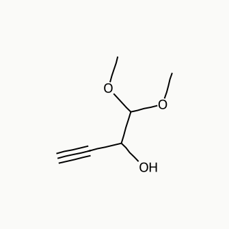 C#CC(O)C(OC)OC